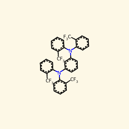 FC(F)(F)c1ccccc1N(c1cccc(N(c2ccccc2C(F)(F)F)c2ccccc2C(F)(F)F)c1)c1ccccc1C(F)(F)F